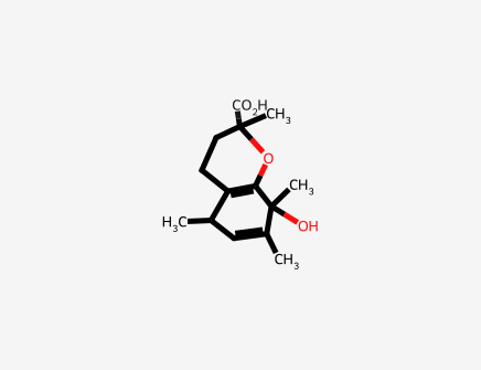 CC1=CC(C)C2=C(OC(C)(C(=O)O)CC2)C1(C)O